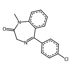 CN1C(=O)CN=C(c2ccc(Cl)cc2)c2ccccc21